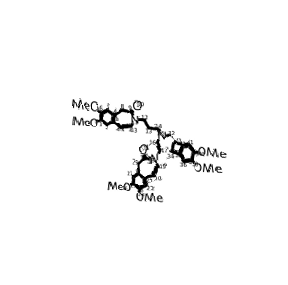 COc1cc2c(cc1OC)CC(=O)N(CCCN(CCN1C=Cc3cc(OC)c(OC)cc3CC1=O)C[C@H]1Cc3cc(OC)c(OC)cc31)C=C2